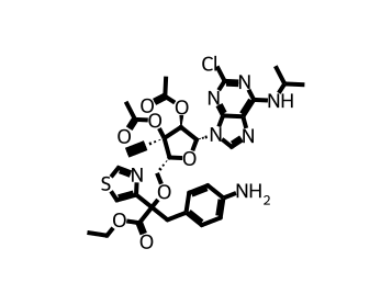 C#C[C@@]1(OC(C)=O)[C@@H](COC(Cc2ccc(N)cc2)(C(=O)OCC)c2cscn2)O[C@@H](n2cnc3c(NC(C)C)nc(Cl)nc32)[C@@H]1OC(C)=O